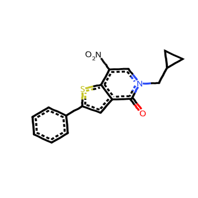 O=c1c2cc(-c3ccccc3)sc2c([N+](=O)[O-])cn1CC1CC1